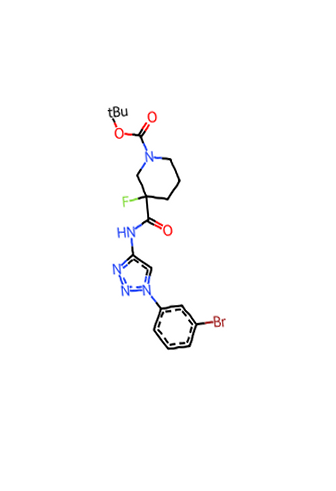 CC(C)(C)OC(=O)N1CCCC(F)(C(=O)Nc2cn(-c3cccc(Br)c3)nn2)C1